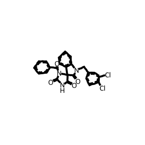 O=C1NC(=O)C2(C(=O)N(Cc3ccc(Cl)c(Cl)c3)c3ccccc32)N1C(=O)c1ccccc1